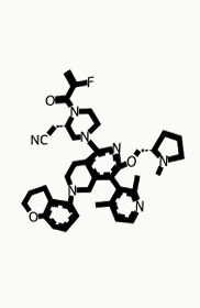 C=C(F)C(=O)N1CCN(c2nc(OC[C@@H]3CCCN3C)c(-c3c(C)ccnc3C)c3c2CCN(c2cccc4c2CCCO4)C3)C[C@@H]1CC#N